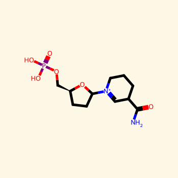 NC(=O)C1C=[N+](C2CC[C@@H](COP(=O)(O)O)O2)CCC1